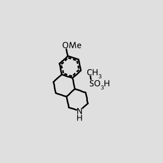 COc1ccc2c(c1)CCC1CNCCC21.CS(=O)(=O)O